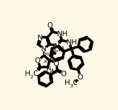 C#C[C@@]1(OC(=O)c2ccccc2)[C@H](O)C(=C)O[C@H]1n1cnc2c(=O)[nH]c(NC(c3ccccc3)(c3ccccc3)c3ccc(OC)cc3)nc21